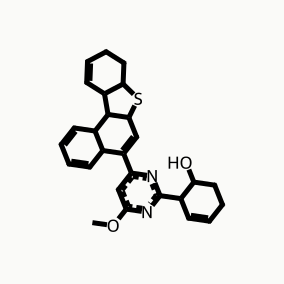 COc1cc(C2=CC3SC4CCC=CC4C3C3C=CC=CC23)nc(C2C=CCCC2O)n1